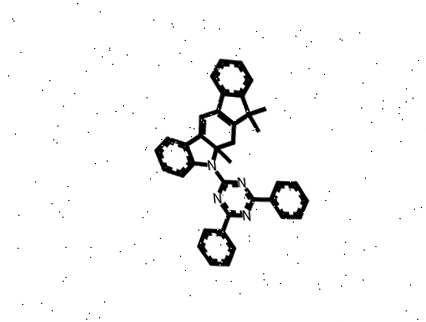 CC1(C)C2=C(C=C3c4ccccc4N(c4nc(-c5ccccc5)nc(-c5ccccc5)n4)C3(C)C2)c2ccccc21